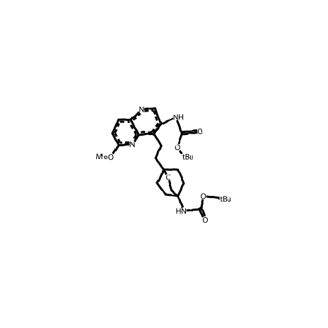 COc1ccc2ncc(NC(=O)OC(C)(C)C)c(CCC34CCC(NC(=O)OC(C)(C)C)(CC3)CC4)c2n1